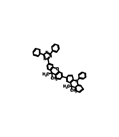 CC1(C)c2ccc(-c3ccc4c(c3)C(C)(C)c3ccccc3N4c3ccccc3)cc2Oc2cc(-c3nc(-c4ccccc4)nc(-c4ccccc4)n3)ccc21